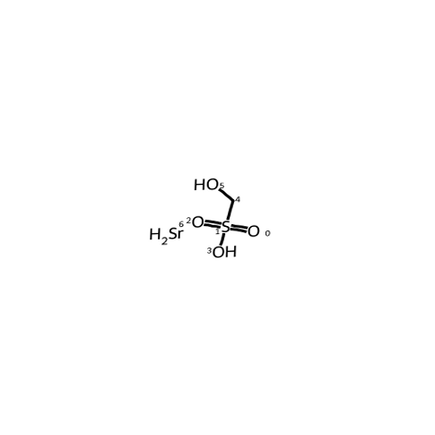 O=S(=O)(O)CO.[SrH2]